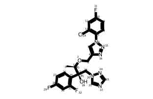 C[C@@H](OCc1cn(-c2ccc(F)cc2Cl)nn1)[C@](O)(Cn1cncn1)c1ccc(F)cc1F